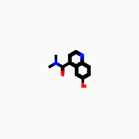 CN(C)C(=O)c1ccnc2ccc(O)cc12